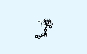 CC(C)(C)OC(=O)NC(C=Cc1ccc(-c2nnc(CSCCOc3ccccc3)o2)cc1)Cc1ccccc1